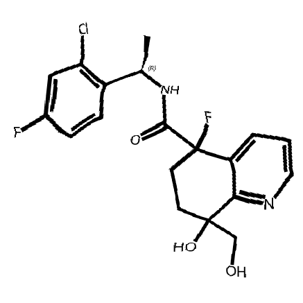 C[C@@H](NC(=O)C1(F)CCC(O)(CO)c2ncccc21)c1ccc(F)cc1Cl